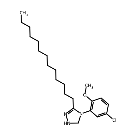 CCCCCCCCCCCCCC1=NNCN1c1cc(Cl)ccc1OC